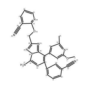 COc1cc(-c2c(-c3cccc(C#N)c3)nc(N)n3nc(COc4ncccc4C#N)nc23)cc(C)n1